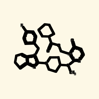 CN(c1nccc(=O)n1COC(=O)C1CCCCC1)C1CCN(c2nc3c(n2Cc2ccc(F)cc2)=CCCC=3)CC1